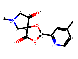 Cc1ccnc(B2OC(=O)C3(CN(C)CC3=O)O2)c1